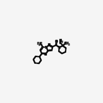 CC1(C)CCCCN1C(=O)c1cc2nc(C3CCCCC3)cc(C(F)(F)F)n2n1